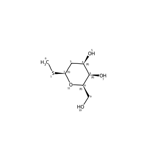 CS[C@H]1C[C@@H](O)[C@@H](O)[C@@H](CO)O1